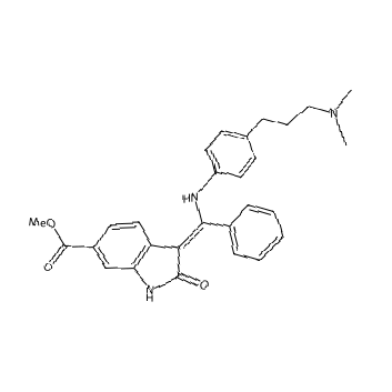 COC(=O)c1ccc2c(c1)NC(=O)C2=C(Nc1ccc(CCCN(C)C)cc1)c1ccccc1